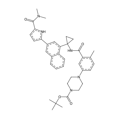 Cc1ccc(N2CCN(C(=O)OC(C)(C)C)CC2)cc1C(=O)NC1(c2cc(-c3ccc(C(=O)N(C)C)[nH]3)cc3ccccc23)CC1